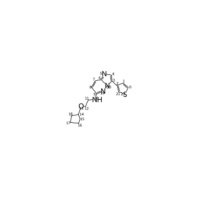 c1cc(-c2cnc3ccc(NCCOC4CCCC4)nn23)cs1